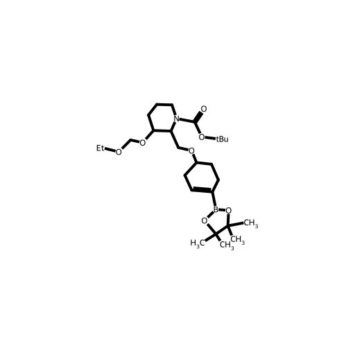 CCOCOC1CCCN(C(=O)OC(C)(C)C)C1COC1CC=C(B2OC(C)(C)C(C)(C)O2)CC1